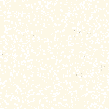 CCCCC(=O)Oc1ccc(C(=CC(=O)O)CCC)cc1OC